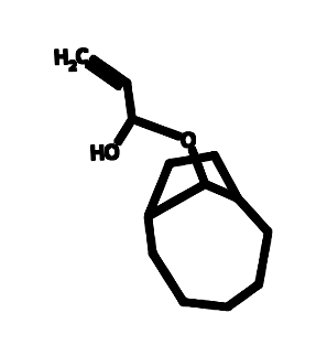 C=CC(O)OC1C2CCCCCC1CC2